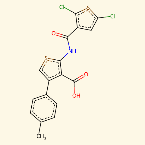 Cc1ccc(-c2csc(NC(=O)c3cc(Cl)sc3Cl)c2C(=O)O)cc1